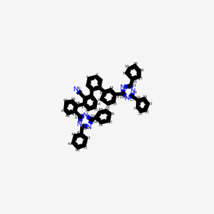 N#Cc1c(-c2ccccc2-c2cccc(-c3nc(-c4ccccc4)nc(-c4ccccc4)n3)c2)cccc1-c1ccccc1-c1nc(-c2ccccc2)nc(-c2ccccc2)n1